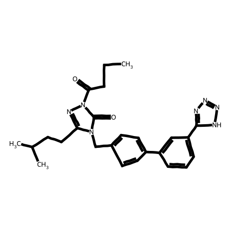 CCCC(=O)n1nc(CCC(C)C)n(Cc2ccc(-c3cccc(-c4nnn[nH]4)c3)cc2)c1=O